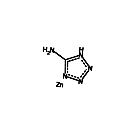 Nc1nnn[nH]1.[Zn]